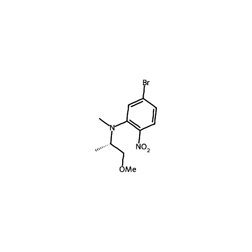 COC[C@H](C)N(C)c1cc(Br)ccc1[N+](=O)[O-]